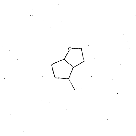 CC1CCC2OCCC12